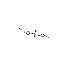 CCCCCCCc1ccc(C#C/C(F)=C(\F)C#Cc2ccc(CCCC)cc2)cc1